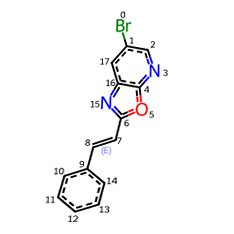 Brc1cnc2oc(/C=C/c3ccccc3)nc2c1